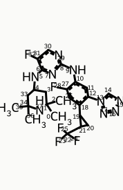 CC1(C)CC(Nc2nc(Nc3cc(-n4cnnn4)c(C4CC4C(F)(F)F)cc3F)ncc2F)CC(C)(C)N1